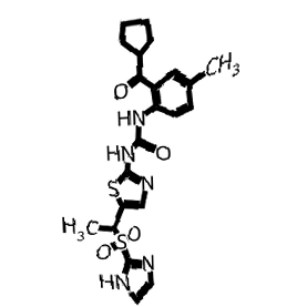 Cc1ccc(NC(=O)Nc2ncc(C(C)S(=O)(=O)c3ncc[nH]3)s2)c(C(=O)C2CCCC2)c1